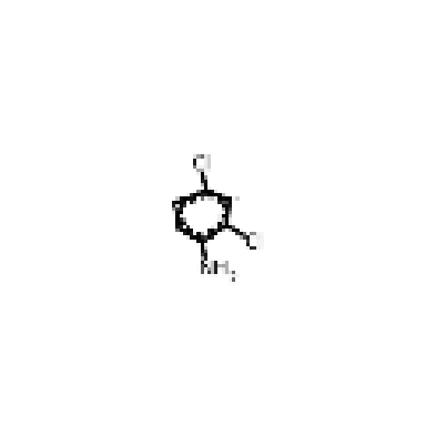 Nc1ccc(Cl)[c]c1Cl